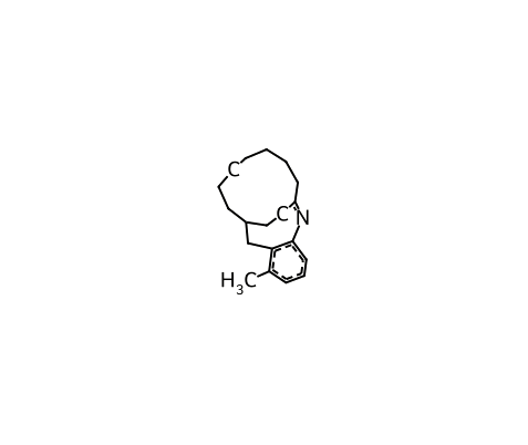 Cc1cccc2c1CC1CCCCCCCC(=N2)CC1